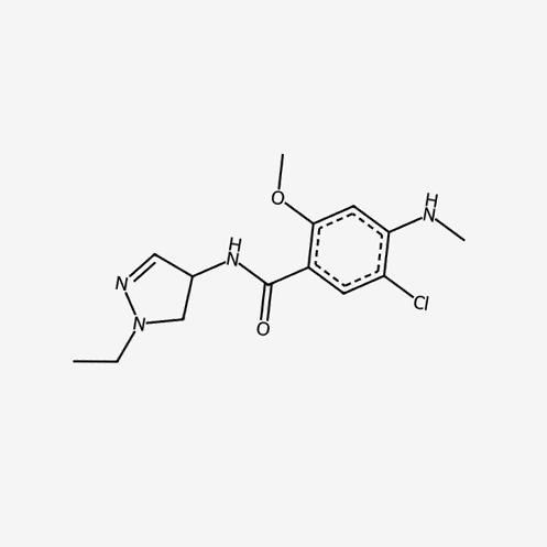 CCN1CC(NC(=O)c2cc(Cl)c(NC)cc2OC)C=N1